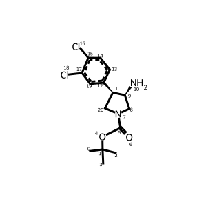 CC(C)(C)OC(=O)N1C[C@H](N)[C@H](c2ccc(Cl)c(Cl)c2)C1